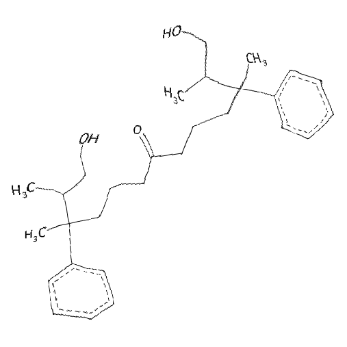 CC(CO)C(C)(CCCC(=O)CCCC(C)(c1ccccc1)C(C)CO)c1ccccc1